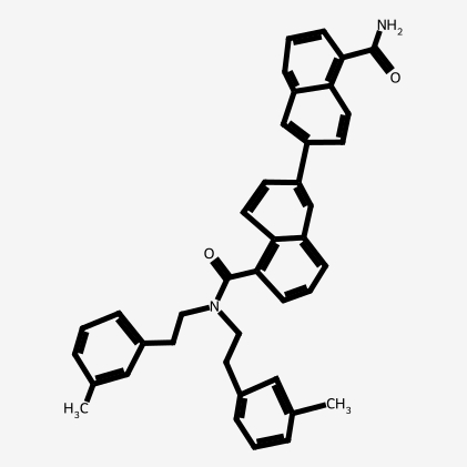 Cc1cccc(CCN(CCc2cccc(C)c2)C(=O)c2cccc3cc(-c4ccc5c(C(N)=O)cccc5c4)ccc23)c1